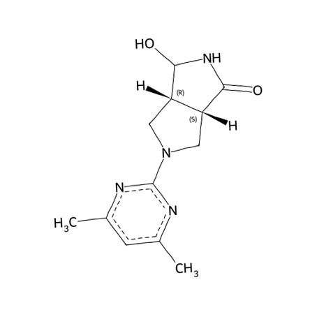 Cc1cc(C)nc(N2C[C@@H]3C(O)NC(=O)[C@@H]3C2)n1